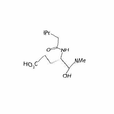 CNC(O)[C@H](CCC(=O)O)NC(=O)CC(C)C